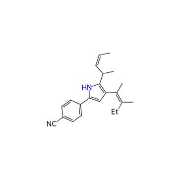 C/C=C\C(C)c1[nH]c(-c2ccc(C#N)cc2)cc1/C(C)=C(/C)CC